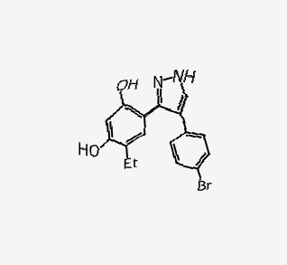 CCc1cc(-c2n[nH]cc2-c2ccc(Br)cc2)c(O)cc1O